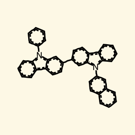 c1ccc(-n2c3ccccc3c3ccc(-c4ccc5c6ccccc6n(-c6ccc7ccccc7c6)c5c4)cc32)cc1